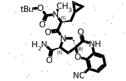 CN(C(=O)OC(C)(C)C)[C@@H](CC1CC1)C(=O)N1C[C@@]2(C[C@H]1C(N)=O)Oc1c(C#N)cccc1NC2=O